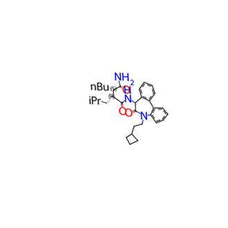 CCCC[C@H](C(N)=O)[C@@H](CC(C)C)C(=O)NC1C(=O)N(CCC2CCC2)c2ccccc2-c2ccccc21